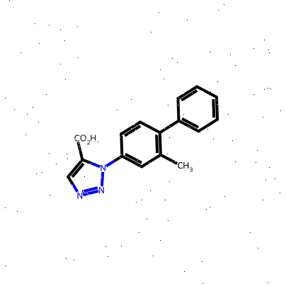 Cc1cc(-n2nncc2C(=O)O)ccc1-c1ccccc1